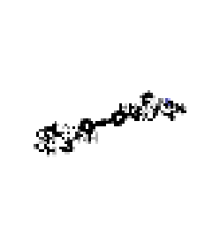 CCCN(/N=C\OOC)C(=O)N1CCC[C@H]1c1ncc(-c2ccc(C#Cc3ccc4nc([C@@H]5CCCN5C(=O)[C@@H](NC(=O)OC)C(C)C)[nH]c4c3)cc2)[nH]1